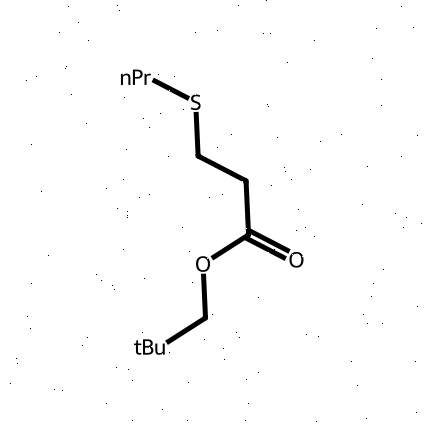 CCCSCCC(=O)OCC(C)(C)C